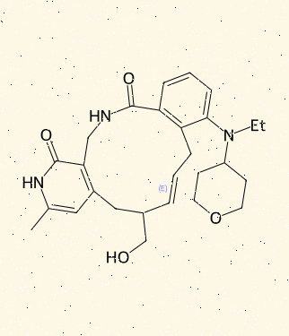 CCN(c1cccc2c1C/C=C/C(CO)Cc1cc(C)[nH]c(=O)c1CNC2=O)C1CCOCC1